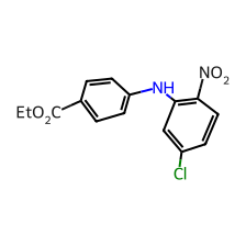 CCOC(=O)c1ccc(Nc2cc(Cl)ccc2[N+](=O)[O-])cc1